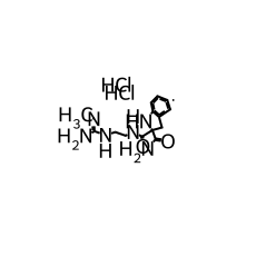 CN=C(N)NCCNC(=O)C1(C(N)=O)Cc2c[c]ccc2N1.Cl.Cl